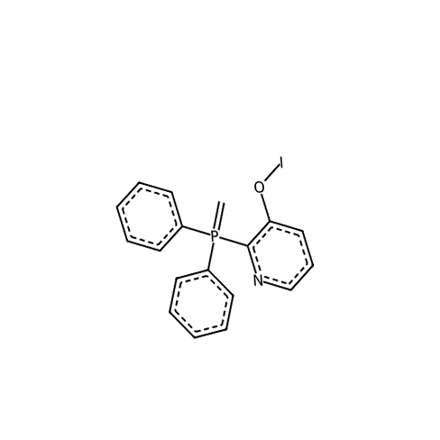 C=P(c1ccccc1)(c1ccccc1)c1ncccc1OI